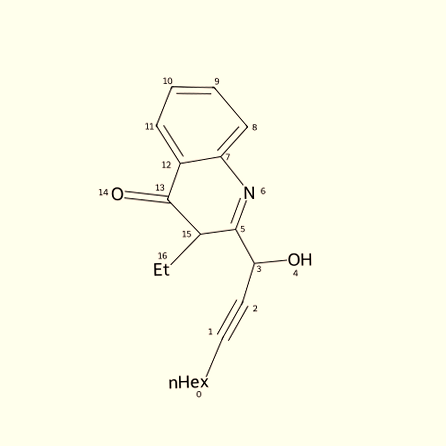 CCCCCCC#CC(O)C1=Nc2ccccc2C(=O)C1CC